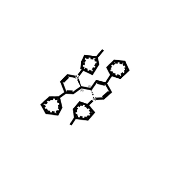 Cc1ccc(N2C=CC(c3ccccc3)=C[C@@H]2[C@@H]2C=C(c3ccccc3)C=CN2c2ccc(C)cc2)cc1